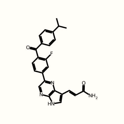 CC(C)c1ccc(C(=O)c2ccc(-c3cnc4[nH]cc(C=CC(N)=O)c4n3)cc2F)cc1